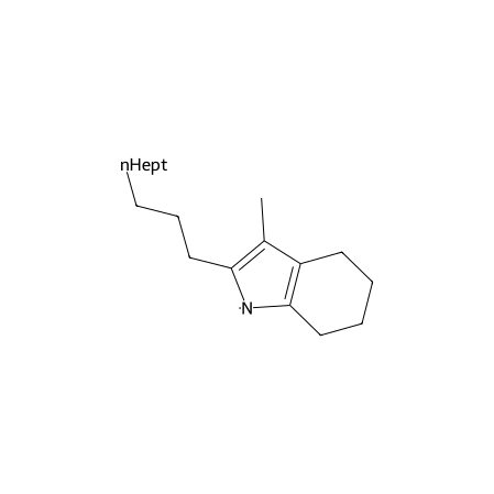 CCCCCCCCCCC1=C(C)C2=C(CCCC2)[N]1